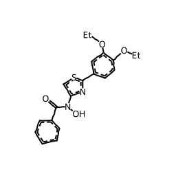 CCOc1ccc(-c2nc(N(O)C(=O)c3ccccc3)cs2)cc1OCC